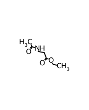 CCOC(=O)CCNC(C)=O